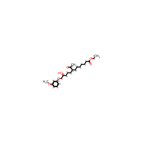 CCOC(=O)CCCCCCC(CCCC(O)COc1cccc(OC)c1)C(C)=O